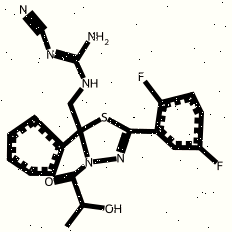 CC(O)C(=O)N1N=C(c2cc(F)ccc2F)SC1(CNC(N)=NC#N)c1ccccc1